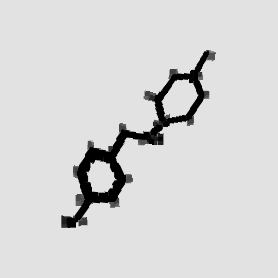 CN1CCN(NCc2ccc(Br)cc2)CC1